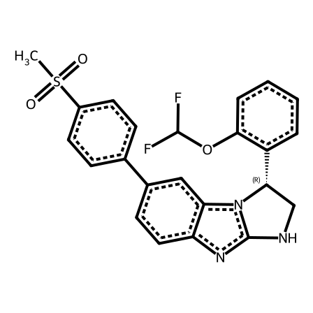 CS(=O)(=O)c1ccc(-c2ccc3nc4n(c3c2)[C@H](c2ccccc2OC(F)F)CN4)cc1